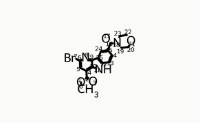 COC(=O)c1cc(Br)nc2c1[nH]c1ccc(C(=O)N3CCOCC3)cc12